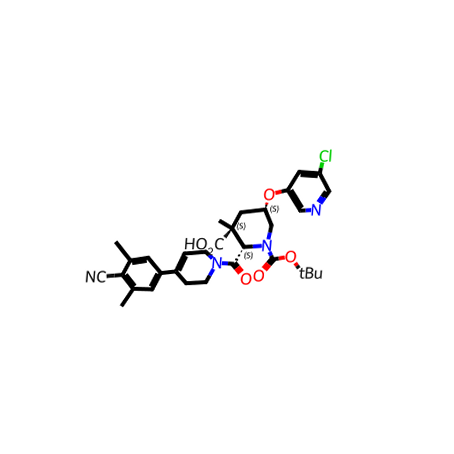 Cc1cc(C2=CCN(C(=O)[C@H]3N(C(=O)OC(C)(C)C)C[C@@H](Oc4cncc(Cl)c4)C[C@]3(C)C(=O)O)CC2)cc(C)c1C#N